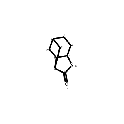 O=C1SC2CCC3CC1C2C3